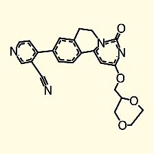 N#Cc1cnccc1-c1ccc2c(c1)CCn1c-2cc(OCC2COCCO2)nc1=O